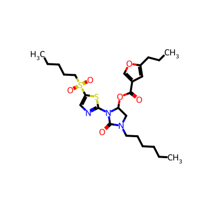 CCCCCCN1CC(OC(=O)c2coc(CCC)c2)N(c2ncc(S(=O)(=O)CCCCC)s2)C1=O